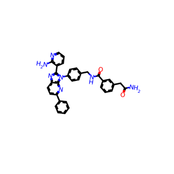 NC(=O)Cc1cccc(C(=O)NCc2ccc(-n3c(-c4cccnc4N)nc4ccc(-c5ccccc5)nc43)cc2)c1